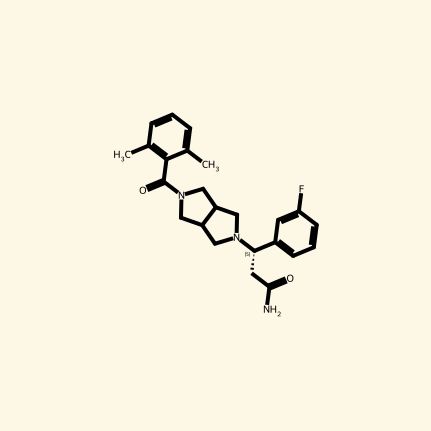 Cc1cccc(C)c1C(=O)N1CC2CN([C@@H](CC(N)=O)c3cccc(F)c3)CC2C1